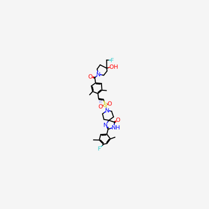 Cc1cc(C2=NC3(CCN(S(=O)(=O)/C=C/c4c(C)cc(C(=O)N5CCC(O)(CF)CC5)cc4C)CC3)C(=O)N2)c(C)cc1F